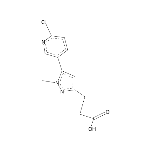 Cn1nc(CCC(=O)O)cc1-c1ccc(Cl)nc1